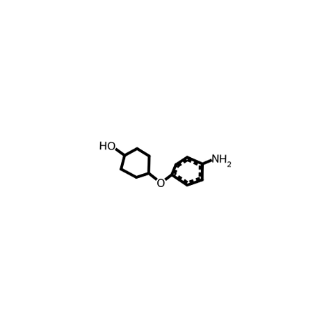 Nc1ccc(OC2CCC(O)CC2)cc1